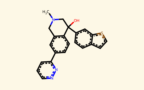 CN1Cc2cc(-c3cccnn3)ccc2C(O)(c2ccc3ccsc3c2)C1